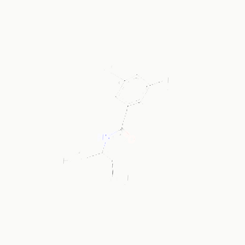 O=C(O)CC(NC(=O)c1cc(C(F)(F)F)cc(C(F)(F)F)c1)C(=O)O